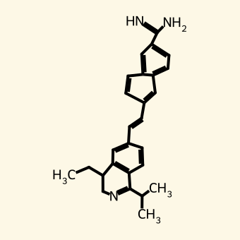 CCC1CN=C(C(C)C)c2ccc(C=Cc3ccc4cc(C(=N)N)ccc4c3)cc21